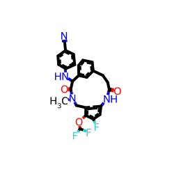 CN1Cc2cc(cc(F)c2OC(F)F)NC(=O)CCc2cccc(c2)C(Nc2ccc(C#N)cc2)C1=O